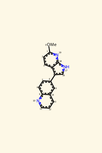 COc1ccc2c(-c3ccc4ncccc4c3)c[nH]c2n1